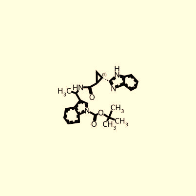 CC(NC(=O)C1C[C@@H]1c1nc2ccccc2[nH]1)c1cn(C(=O)OC(C)(C)C)c2ccccc12